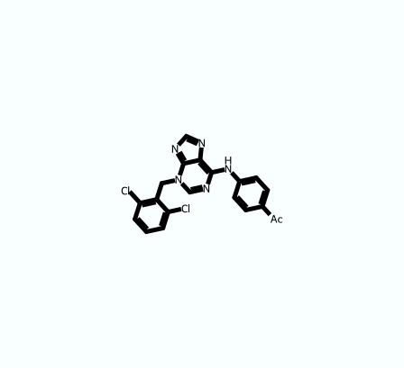 CC(=O)c1ccc(Nc2ncn(Cc3c(Cl)cccc3Cl)c3ncnc2-3)cc1